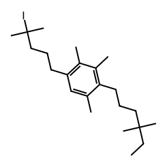 CCC(C)(C)CCCc1c(C)cc(CCCC(C)(C)I)c(C)c1C